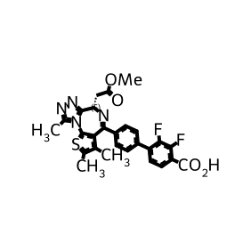 COC(=O)C[C@@H]1N=C(c2ccc(-c3ccc(C(=O)O)c(F)c3F)cc2)c2c(sc(C)c2C)-n2c(C)nnc21